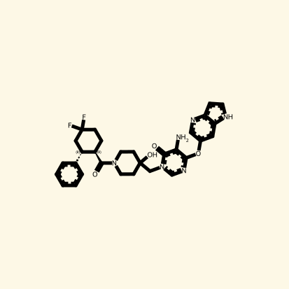 Nc1c(Oc2cnc3cc[nH]c3c2)ncn(CC2(O)CCN(C(=O)[C@@H]3CCC(F)(F)C[C@H]3c3ccccc3)CC2)c1=O